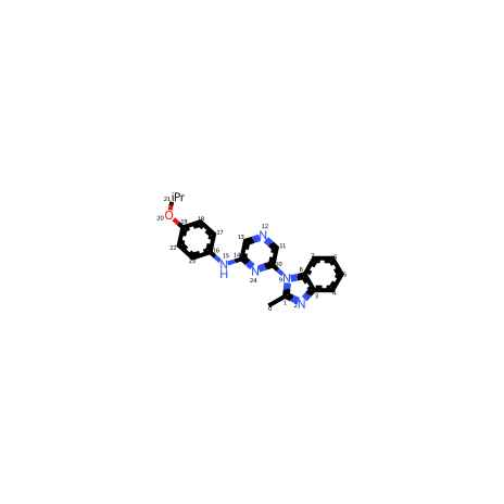 Cc1nc2ccccc2n1-c1cncc(Nc2ccc(OC(C)C)cc2)n1